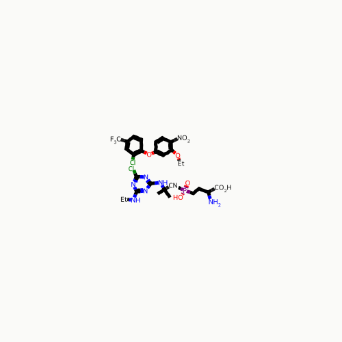 CCNc1nc(Cl)nc(NC(C)(C)C#N)n1.CCOc1cc(Oc2ccc(C(F)(F)F)cc2Cl)ccc1[N+](=O)[O-].CP(=O)(O)CCC(N)C(=O)O